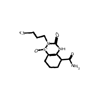 NC(=O)C1CCCC2=C1NC(=O)N(CCCCl)[S+]2[O-]